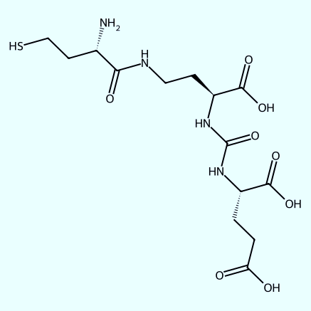 N[C@@H](CCS)C(=O)NCC[C@H](NC(=O)N[C@@H](CCC(=O)O)C(=O)O)C(=O)O